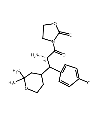 CC1(C)CC(C(c2ccc(Cl)cc2)[C@H](N)C(=O)N2CCOC2=O)CCO1